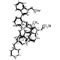 CCOC(=O)Cn1cc(C2=[C]c3c(-c4cn(COC)c5ncccc45)ccnc3[N+]2(CC(=O)NCCN2CCOCC2)c2c(CN(C)C)[nH]c3ncccc23)c2cccnc21